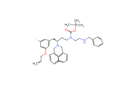 C=CCOc1cc(F)cc(C[C@@H](CCN(CCNCc2ccccc2)C(=O)OC(C)(C)C)N(Cc2ccccc2)Cc2ccccc2)c1